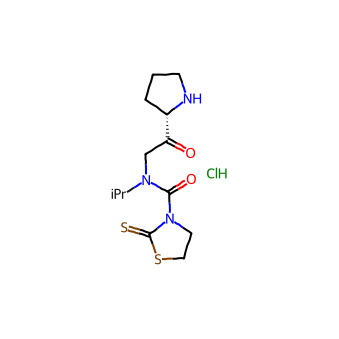 CC(C)N(CC(=O)[C@@H]1CCCN1)C(=O)N1CCSC1=S.Cl